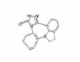 O=c1[nH]nc2n1-c1ccccc1N1CCc3cccc-2c31